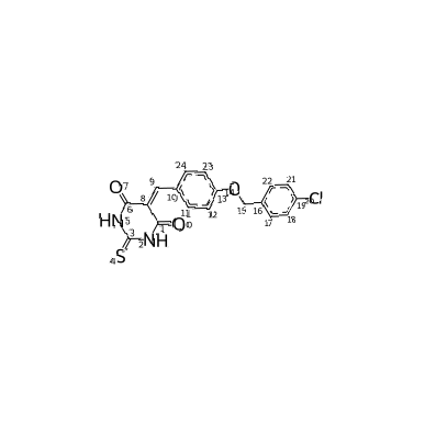 O=C1NC(=S)NC(=O)C1=Cc1ccc(OCc2ccc(Cl)cc2)cc1